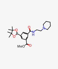 COC(=O)c1cc(B2OC(C)(C)C(C)(C)O2)cc(C(=O)NCCN2CCCCC2)c1